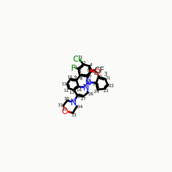 Fc1c(Cl)cc(C(F)(F)F)cc1-c1cccc2c1N(N1CCOc3ccccc31)CC=C2N1CCOCC1